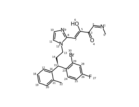 C/N=C\C(=O)/C(O)=C/c1nccn1CC[C@H](c1ccccc1C)c1ccc(F)cc1Br